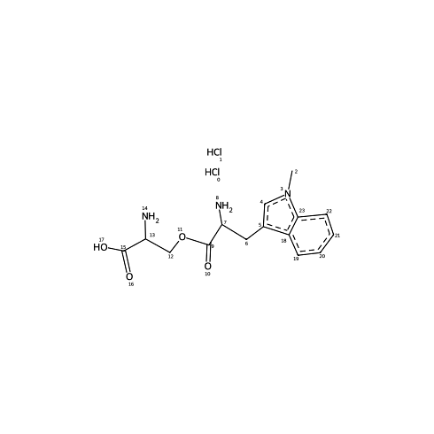 Cl.Cl.Cn1cc(CC(N)C(=O)OCC(N)C(=O)O)c2ccccc21